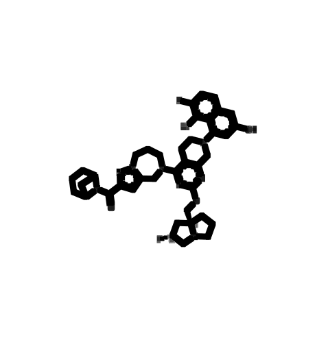 CCc1c(F)ccc2cc(O)cc(N3CCc4c(nc(OC[C@@]56CCCN5C[C@H](F)C6)nc4N4CCCn5nc(C(=O)N6C7CCCC6C7)cc5C4)C3)c12